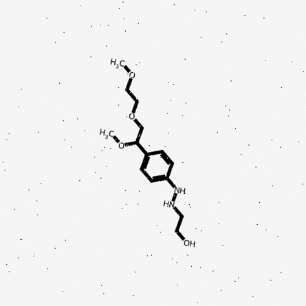 COCCOCC(OC)c1ccc(NNCCO)cc1